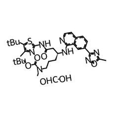 Cc1nc(-c2ccc3ccnc(N[C@@H](CCCN(C)C(=O)OC(C)(C)C)CC(=O)Nc4nc(C)c(C(C)(C)C)s4)c3c2)no1.O=CO